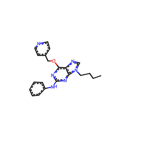 CCCCn1cnc2c(OCc3ccncc3)nc(Nc3ccccc3)nc21